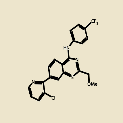 COCc1nc(Nc2ccc(C(F)(F)F)cc2)c2ccc(-c3ncccc3Cl)cc2n1